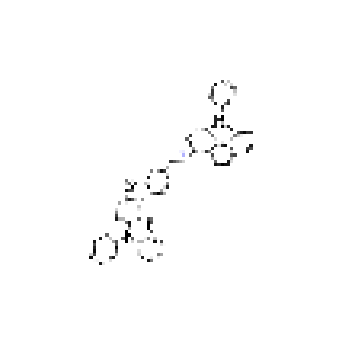 Fc1ccccc1N(c1ccccc1)c1ccc2sc3cc(/C=C/c4ccc5c6c4ccc4cccc(c46)n5-c4ccccc4)ccc3c2c1